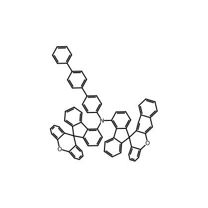 c1ccc(-c2ccc(-c3ccc(N(c4cccc5c4-c4ccccc4C54c5ccccc5Oc5ccccc54)c4cccc5c4-c4ccccc4C54c5ccccc5Oc5cc6ccccc6cc54)cc3)cc2)cc1